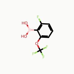 OB(O)c1c(F)cccc1OC(F)(F)F